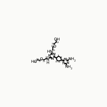 Nc1nc(N)nc(C2CCC(c3nc(NCCOCCO)nc(NCCOCCO)n3)CC2)n1